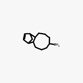 BC1CCCC2C3C=CC(C3)C2CCC1